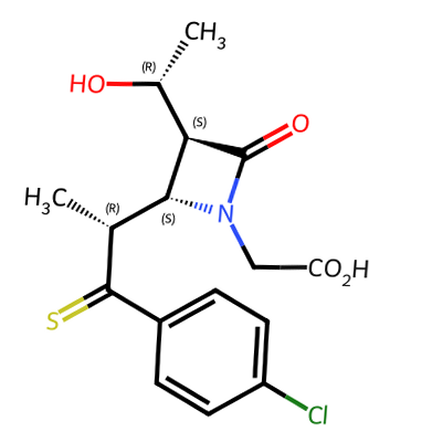 C[C@@H](O)[C@H]1C(=O)N(CC(=O)O)[C@@H]1[C@@H](C)C(=S)c1ccc(Cl)cc1